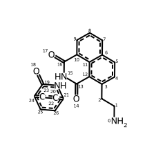 NCCc1ccc2cccc3c2c1C(=O)NC3=O.O=c1[nH]c2ccc1cc2